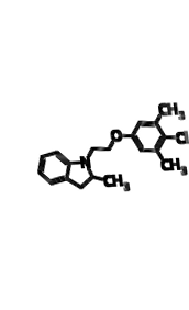 Cc1cc(OCCN2c3ccccc3CC2C)cc(C)c1Cl